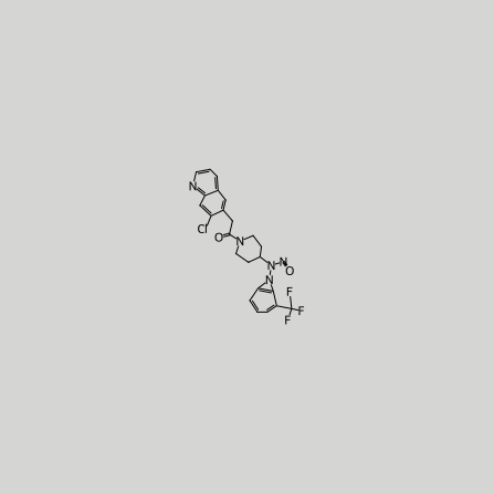 O=NN(C1CCN(C(=O)Cc2cc3cccnc3cc2Cl)CC1)N1c2cccc(C(F)(F)F)c21